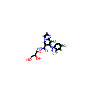 O=C(NOCC(O)CO)c1cn2ccnc2c(Cl)c1Nc1ccc(Br)cc1Cl